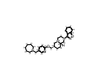 c1ccc2c(N3CCN4C[C@H](COc5ccc(CN6CCCCCC6)cn5)CC[C@H]4C3)noc2c1